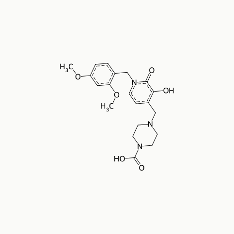 COc1ccc(Cn2ccc(CN3CCN(C(=O)O)CC3)c(O)c2=O)c(OC)c1